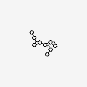 c1ccc(-c2ccc(C3c4ccccc4-c4cc(-c5ccc6c(c5)c5ccc7c(c5n6-c5cccc(-c6ccccc6)c5)-c5ccccc5C7)ccc43)cc2)cc1